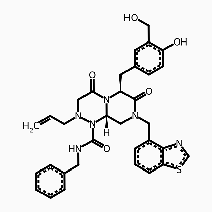 C=CCN1CC(=O)N2[C@@H](Cc3ccc(O)c(CO)c3)C(=O)N(Cc3cccc4scnc34)C[C@@H]2N1C(=O)NCc1ccccc1